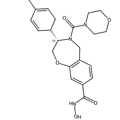 CC1=CCC([C@H]2COc3cc(C(=O)NO)ccc3CN2C(=O)N2CCOCC2)C=C1